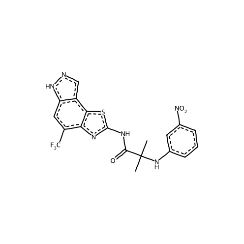 CC(C)(Nc1cccc([N+](=O)[O-])c1)C(=O)Nc1nc2c(C(F)(F)F)cc3[nH]ncc3c2s1